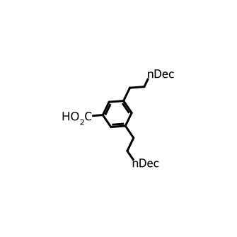 CCCCCCCCCCCCc1cc(CCCCCCCCCCCC)cc(C(=O)O)c1